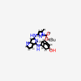 Cc1cc(Nc2cc3ncccc3c(NC3C4CC5CC3CC(O)(C5)C4)n2)nn1C(=O)OC(C)(C)C